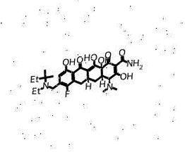 CCN(Cc1cc(O)c2c(c1F)C[C@H]1C[C@H]3[C@H](N(C)C)C(O)=C(C(N)=O)C(=O)[C@@]3(O)C(O)=C1C2=O)C(C)(C)CC